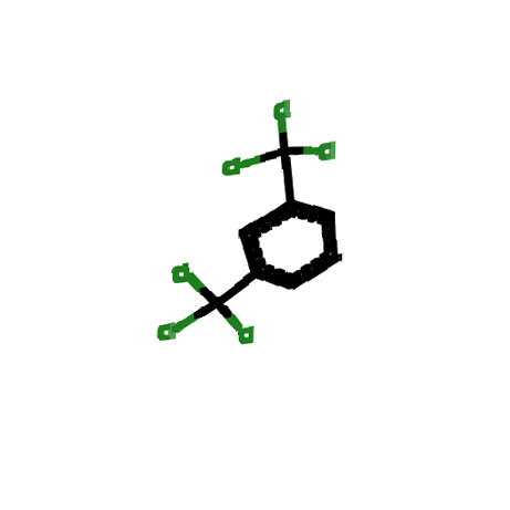 ClC(Cl)(Cl)c1c[c]cc(C(Cl)(Cl)Cl)c1